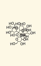 OC[C@@H](O)[C@@H](O)[C@H](O)[C@@H](O)C(OC1O[C@H](CO)[C@@H](O)[C@H](O)[C@H]1O)(C1O[C@H](CO)[C@@H](O)[C@H](O)[C@H]1O)C1O[C@H](CO)[C@@H](O)[C@H](O)[C@H]1O